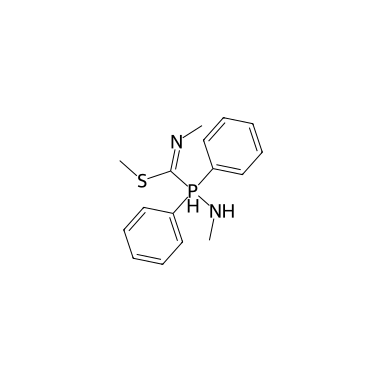 C/N=C(/SC)[PH](NC)(c1ccccc1)c1ccccc1